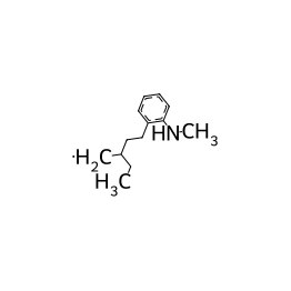 [CH2]C(CC)CCc1ccccc1NC